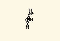 O=C(Nc1ccc(C2CC2NCC2CC2)cc1)c1ccc(-c2ccncc2)cc1